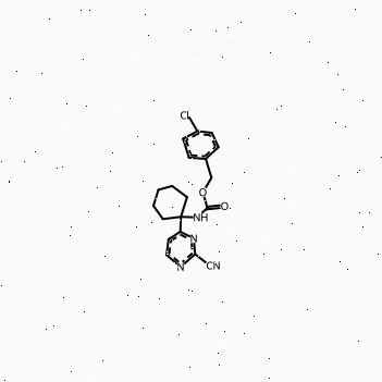 N#Cc1nccc(C2(NC(=O)OCc3ccc(Cl)cc3)CCCCC2)n1